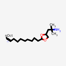 CCCCCCCC/C=C\CCCCCCCCC1OCC(CC(C)(C)N)O1